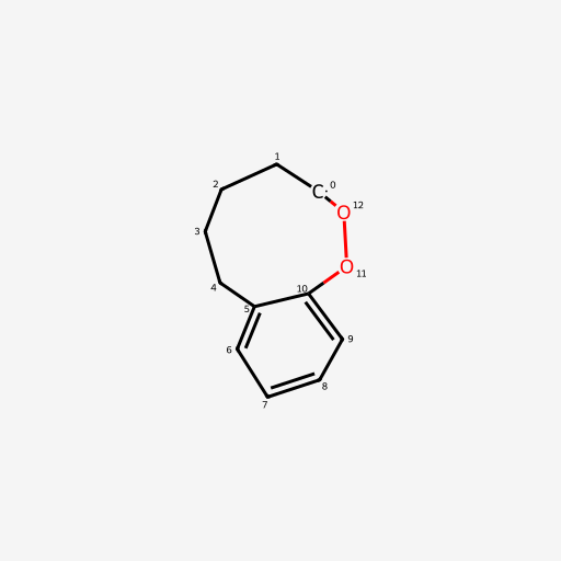 [CH]1CCCCc2ccccc2OO1